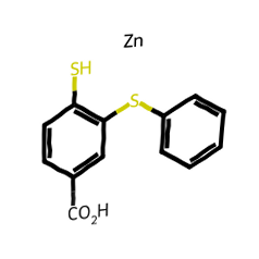 O=C(O)c1ccc(S)c(Sc2ccccc2)c1.[Zn]